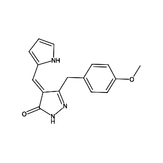 COc1ccc(CC2=NNC(=O)/C2=C/c2ccc[nH]2)cc1